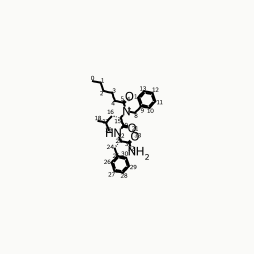 CCCCCC(=O)N(Cc1ccccc1)[C@@H](CC(C)C)C(=O)N[C@@H](Cc1ccccc1)C(N)=O